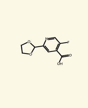 O=C(O)c1cc(C2OCCO2)ncc1F